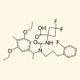 CCOc1cc(C(C)N(CCCc2ccccc2F)C(=O)NC2(C(=O)O)CC(F)(F)C2)cc(OCC)c1C